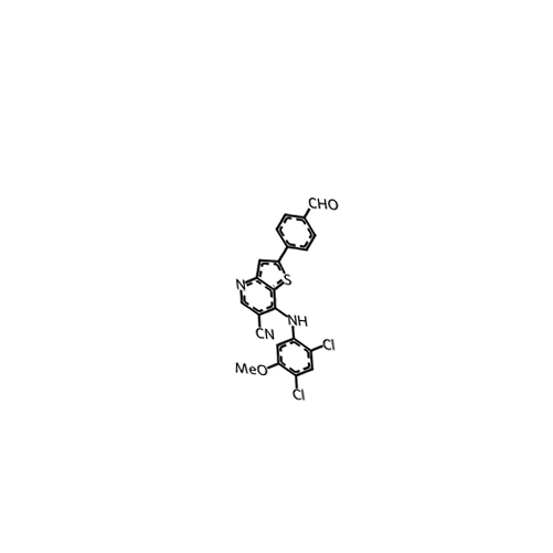 COc1cc(Nc2c(C#N)cnc3cc(-c4ccc(C=O)cc4)sc23)c(Cl)cc1Cl